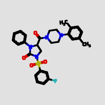 Cc1ccc(C)c(N2CCN(C(=O)C3CN(S(=O)(=O)c4cccc(F)c4)C(=O)N3c3ccccc3)CC2)c1